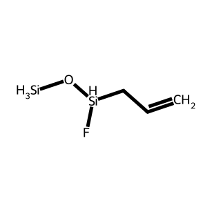 C=CC[SiH](F)O[SiH3]